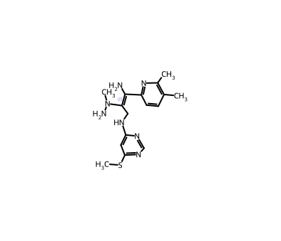 CSc1cc(NC/C(=C(/N)c2ccc(C)c(C)n2)N(C)N)ncn1